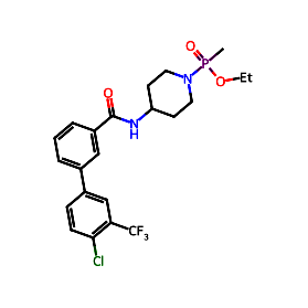 CCOP(C)(=O)N1CCC(NC(=O)c2cccc(-c3ccc(Cl)c(C(F)(F)F)c3)c2)CC1